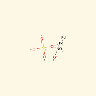 O=S(=O)([O-])[O-].O=[N+]([O-])[O-].[Pd].[Pd]